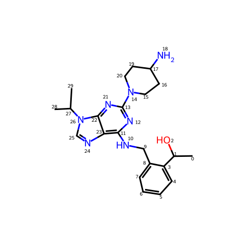 CC(O)c1ccccc1CNc1nc(N2CCC(N)CC2)nc2c1ncn2C(C)C